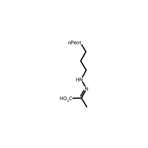 CCCCCCCCN/N=C(/C)C(=O)O